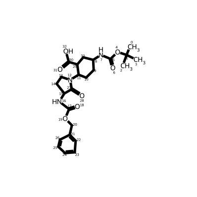 CC(C)(C)OC(=O)NC1CCC(N2CCC(NC(=O)OCc3ccccc3)C2=O)C(C(=O)O)C1